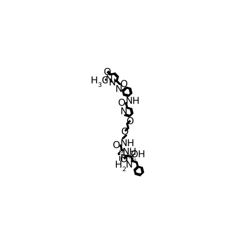 CC(C)C[C@H](NC(=O)[C@@H](O)[C@H](N)Cc1ccccc1)C(=O)NCCOCCOc1ccc(C(=O)Nc2ccc3oc(-c4ccc(=O)n(C)n4)nc3c2)nc1